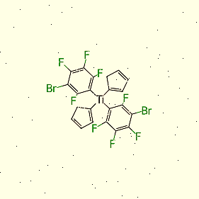 Fc1c(F)c(Br)c(F)[c]([Ti]([C]2=CC=CC2)([C]2=CC=CC2)[c]2c(F)c(F)c(F)c(Br)c2F)c1F